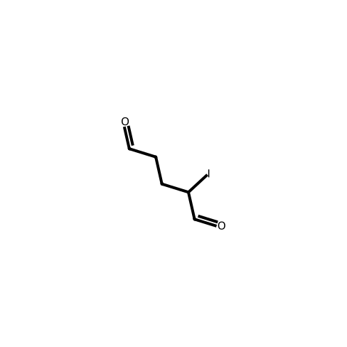 O=CCCC(I)C=O